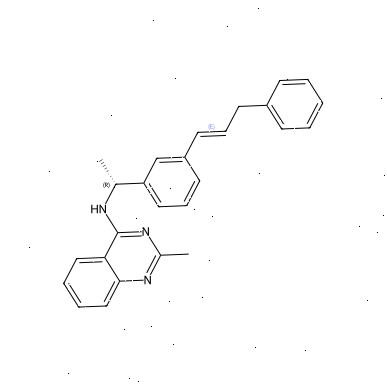 Cc1nc(N[C@H](C)c2cccc(/C=C/Cc3ccccc3)c2)c2ccccc2n1